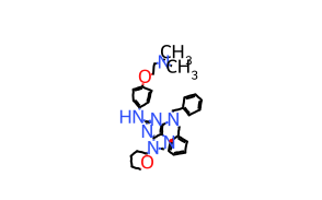 CN(C)CCOc1ccc(Nc2nc(N(Cc3ccccc3)Cc3ccccc3)c3ncn(C4CCCCO4)c3n2)cc1